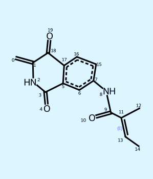 C=C1NC(=O)c2cc(NC(=O)/C(C)=C/C)ccc2C1=O